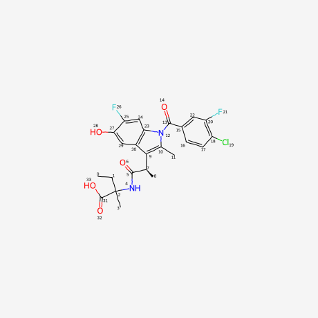 CCC(C)(NC(=O)[C@H](C)c1c(C)n(C(=O)c2ccc(Cl)c(F)c2)c2cc(F)c(O)cc12)C(=O)O